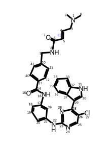 CN(C)C/C=C/C(=O)NCc1ccc(C(=O)Nc2cccc(Nc3ncc(Cl)c(-c4c[nH]c5ccccc45)n3)c2)cc1